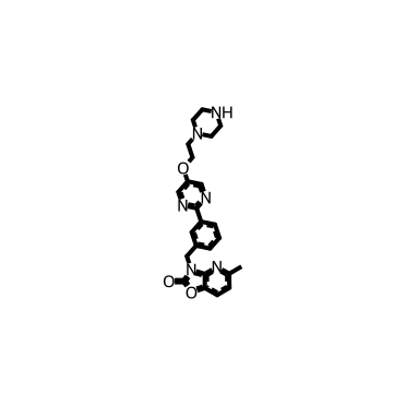 Cc1ccc2oc(=O)n(Cc3cccc(-c4ncc(OCCN5CCNCC5)cn4)c3)c2n1